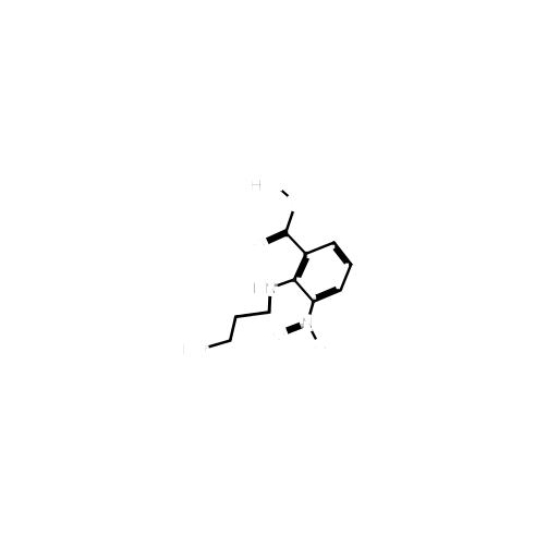 COC(=O)c1cccc([N+](=O)[O-])c1NCCCO